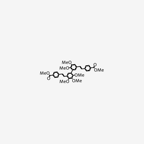 COC(=O)c1ccc(C=Cc2cc(OC)c(OC)c(-c3cc(C=Cc4ccc(C(=O)OC)cc4)c(OC)c(OC)c3OC)c2)cc1